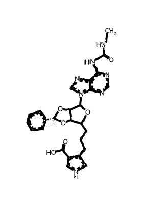 CCNC(=O)Nc1ncnc2c1ncn2C1OC(CCCc2c[nH]cc2C(=O)O)C2O[C@H](c3ccccc3)OC21